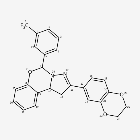 FC(F)(F)c1cccc(C2Oc3ccccc3C3CC(c4ccc5c(c4)OCCO5)=NN32)c1